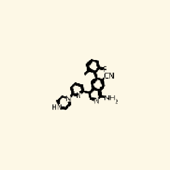 Cc1cccc(F)c1-c1cc2c(-c3cccc(N4CCNCC4)n3)cnc(N)c2cc1C#N